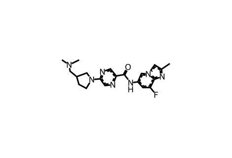 Cc1cn2cc(NC(=O)c3cnc(N4CCC(CN(C)C)C4)cn3)cc(F)c2n1